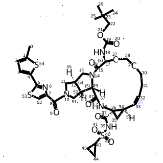 Cc1ccc(-c2nc(C(=O)N3C[C@H]4CN5C(=O)[C@@H](NC(=O)OCC(C)(C)C)CCCCC/C=C\[C@H]6C[C@@]6(C(=O)NS(=O)(=O)C6CC6)NC(=O)[C@@H]5[C@H]4C3)cs2)s1